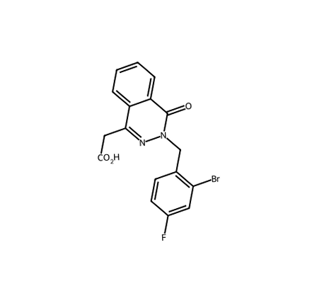 O=C(O)Cc1nn(Cc2ccc(F)cc2Br)c(=O)c2ccccc12